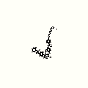 CCCCCCCOc1ccc(C(=O)Oc2ccc(C[C@H](NC(=O)c3ccc(NC(=O)C4CCCCC4)cc3)C(=O)O)cc2)cc1